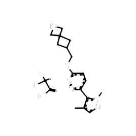 Cc1cnn(C)c1-c1ccc(NCC2CC3(CNC3)C2)nn1.O=C(O)C(F)(F)F